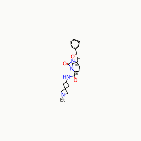 CCN1CC2(CC(NC(=O)[C@@H]3CC[C@@H]4CN3C(=O)N4OCc3ccccc3)C2)C1